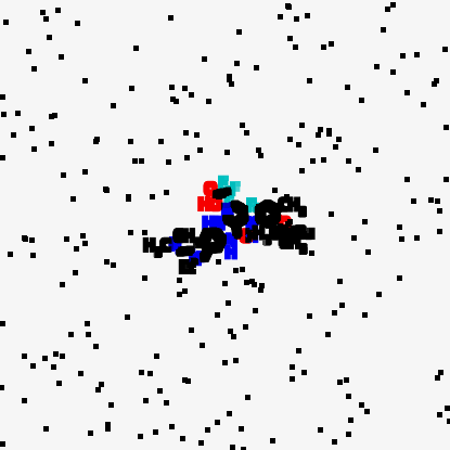 CCN(CCN(C)C)Cc1ccc2c(c1)NC(=O)c1c(Nc3cc(O[Si](C)(C)C(C)(C)C)c(C)cc3F)ccnc1N2.O=C(O)C(F)(F)F